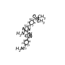 CN(C)C(=O)c1ccc(-c2cnc(N)c(-c3nnc(-c4ccc(CN)cc4)o3)n2)cc1